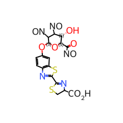 O=NC(=O)[C@H]1O[C@@H](Oc2ccc3nc(C4=NC(C(=O)O)CS4)sc3c2)C(N=O)C(N=O)[C@@H]1O